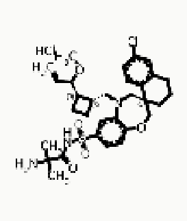 C=CC(OC)[C@@H]1CC[C@H]1CN1C[C@@]2(CCCc3cc(Cl)ccc32)COc2ccc(S(=O)(=O)NC(=O)C(C)(C)N)cc21.Cl